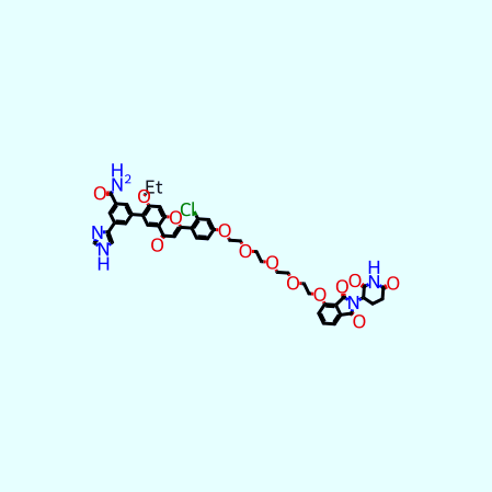 CCOc1cc2oc(-c3ccc(OCCOCCOCCOCCOc4cccc5c4C(=O)N(C4CCC(=O)NC4=O)C5=O)cc3Cl)cc(=O)c2cc1-c1cc(C(N)=O)cc(-c2c[nH]cn2)c1